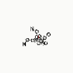 N#Cc1cccc(-c2ccc3c(c2)c2cc(-c4cccc(C#N)c4)ccc2n3-c2cccc3c2C(=O)N(c2c(-c4ccccc4)cc(-c4ccccc4)cc2-c2ccccc2)C3=O)c1